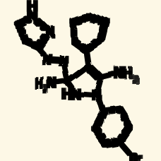 NC1=C(c2ccccc2)C(N)(N=Nc2cc[nH]n2)NN1c1ccc(Br)cc1